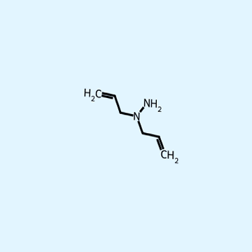 C=CCN(N)CC=C